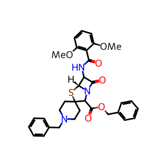 COc1cccc(OC)c1C(=O)NC1C(=O)N2C(C(=O)OCc3ccccc3)C3(CCN(Cc4ccccc4)CC3)S[C@H]12